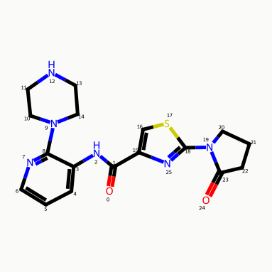 O=C(Nc1cccnc1N1CCNCC1)c1csc(N2CCCC2=O)n1